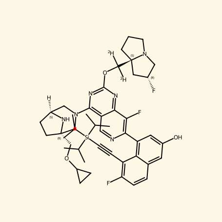 [2H]C([2H])(Oc1nc(N2C[C@@H]3CC[C@](COC4CC4)(C2)N3)c2cnc(-c3cc(O)cc4ccc(F)c(C#C[Si](C(C)C)(C(C)C)C(C)C)c34)c(F)c2n1)[C@@]12CCCN1C[C@H](F)C2